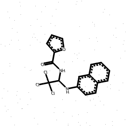 O=C(NC(Nc1ccc2ccccc2c1)C(Cl)(Cl)Cl)c1ccco1